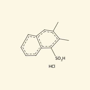 Cc1cc2ccccc2c(S(=O)(=O)O)c1C.Cl